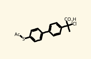 CC(=O)Sc1ccc(-c2ccc(C(C)(Cl)C(=O)O)cc2)cc1